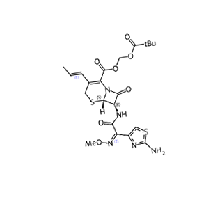 C/C=C/C1=C(C(=O)OCOC(=O)C(C)(C)C)N2C(=O)[C@@H](NC(=O)/C(=N\OC)c3csc(N)n3)[C@@H]2SC1